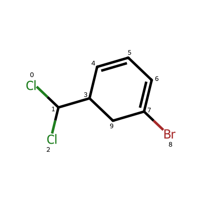 ClC(Cl)C1C=CC=C(Br)C1